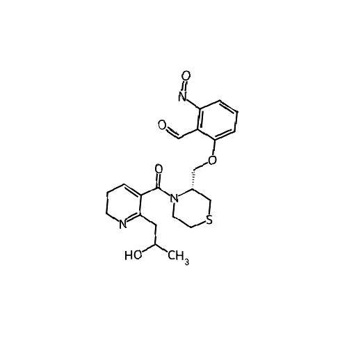 CC(O)CC1=NCCC=C1C(=O)N1CCSC[C@H]1COc1cccc(N=O)c1C=O